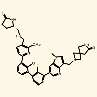 COc1nc(-c2cccc(-c3ccnc(-c4cnc5c(CN6CC7(CNC(=O)C7)C6)cn(C)c5c4)c3Cl)c2Cl)ccc1CNC[C@@H]1CCC(=O)N1